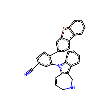 N#Cc1ccc(-c2ccc3c(c2)sc2ccccc23)c(-n2c3c(c4ccccc42)CNCC=C3)c1